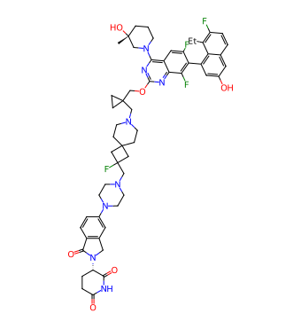 CCc1c(F)ccc2cc(O)cc(-c3c(F)cc4c(N5CCC[C@@](C)(O)C5)nc(OCC5(CN6CCC7(CC6)CC(F)(CN6CCN(c8ccc9c(c8)CN([C@H]8CCC(=O)NC8=O)C9=O)CC6)C7)CC5)nc4c3F)c12